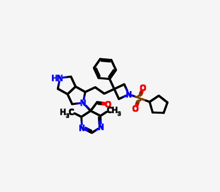 CC1=NC=NC(C)C1(C=O)N1CC2CNCC2C1CCC1(c2ccccc2)CN(S(=O)(=O)C2CCCC2)C1